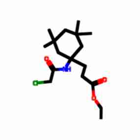 CCOC(=O)CCC1(NC(=O)CCl)CC(C)(C)CC(C)(C)C1